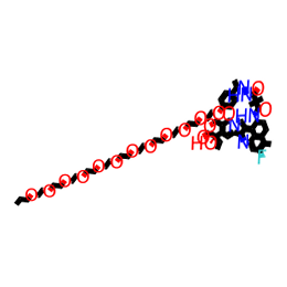 CCCOCCOCCOCCOCCOCCOCCOCCOCCOCCOCCOCCOc1ccc(/C(C)=N\NC(=O)C(C)(C)C(=O)N[C@@H]2CCc3c(C)c(F)cc4nc5c(c2c34)Cn2c-5cc3c(c2=O)COC(=O)[C@@]3(O)CC)cc1